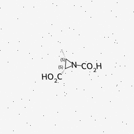 C[C@H]1[C@@H](C(=O)O)N1C(=O)O